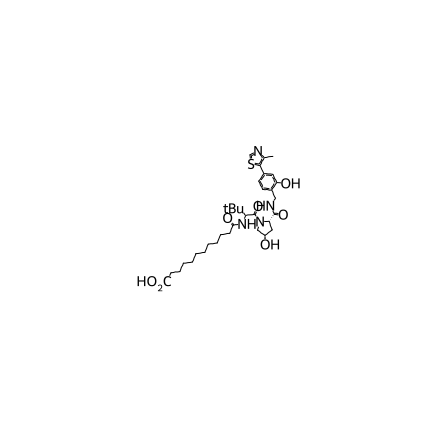 Cc1ncsc1-c1ccc(CNC(=O)[C@@H]2C[C@@H](O)CN2C(=O)C(NC(=O)CCCCCCCCCCC(=O)O)C(C)(C)C)c(O)c1